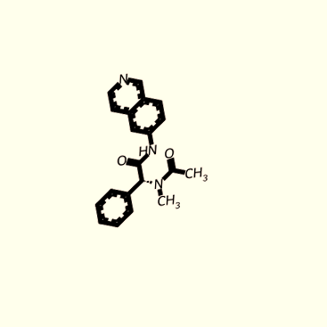 CC(=O)N(C)[C@@H](C(=O)Nc1ccc2cnccc2c1)c1ccccc1